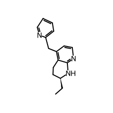 CC[C@H]1CCc2c(Cc3ccccn3)ccnc2N1